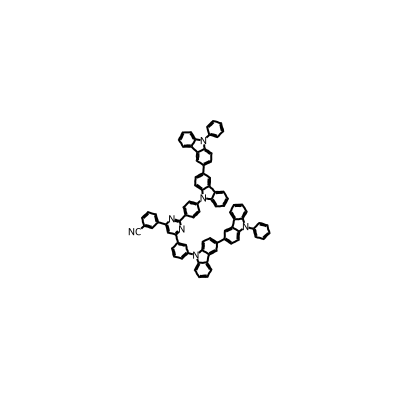 N#Cc1cccc(-c2cc(-c3cccc(-n4c5ccccc5c5cc(-c6ccc7c(c6)c6ccccc6n7-c6ccccc6)ccc54)c3)nc(-c3ccc(-n4c5ccccc5c5cc(-c6ccc7c(c6)c6ccccc6n7-c6ccccc6)ccc54)cc3)n2)c1